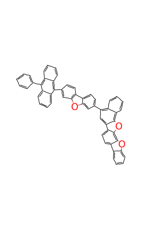 c1ccc(-c2c3ccccc3c(-c3ccc4c(c3)oc3cc(-c5cc6c7ccc8c9ccccc9oc8c7oc6c6ccccc56)ccc34)c3ccccc23)cc1